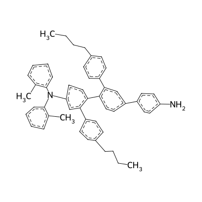 CCCCc1ccc(-c2cc(-c3ccc(N)cc3)ccc2-c2ccc(N(c3ccccc3C)c3ccccc3C)cc2-c2ccc(CCCC)cc2)cc1